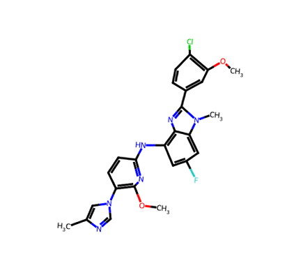 COc1cc(-c2nc3c(Nc4ccc(-n5cnc(C)c5)c(OC)n4)cc(F)cc3n2C)ccc1Cl